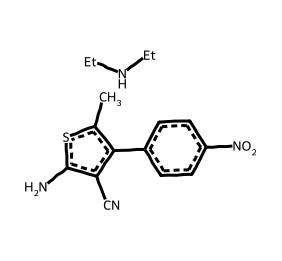 CCNCC.Cc1sc(N)c(C#N)c1-c1ccc([N+](=O)[O-])cc1